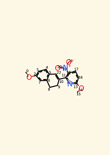 COc1ccc2c(c1)CCC(c1nc(OC)ccc1[N+](=O)[O-])=C2